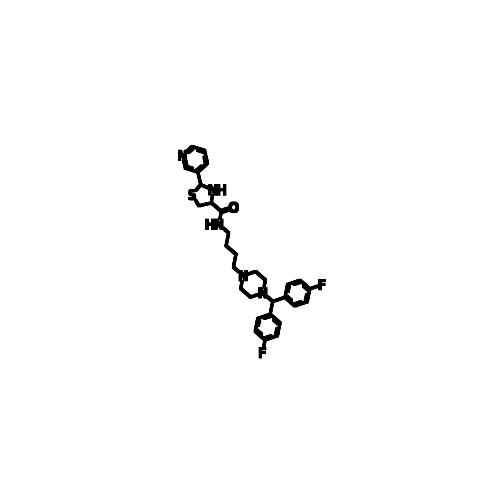 O=C(NCCCCN1CCN(C(c2ccc(F)cc2)c2ccc(F)cc2)CC1)C1CSC(c2cccnc2)N1